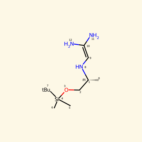 C[C@H](CO[Si](C)(C)C(C)(C)C)NC=C(N)N